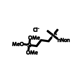 CCCCCCCCC[N+](C)(C)CCC[Si](OC)(OC)OC.[Cl-]